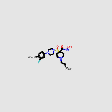 CCCCCc1ccc(N2CCN([S+]([O-])C3(C(=O)NO)CCN(CCOC)CC3)CC2)cc1F